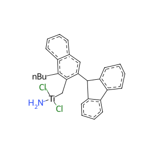 CCCCc1c([CH2][Ti]([NH2])([Cl])[Cl])c(C2c3ccccc3-c3ccccc32)cc2ccccc12